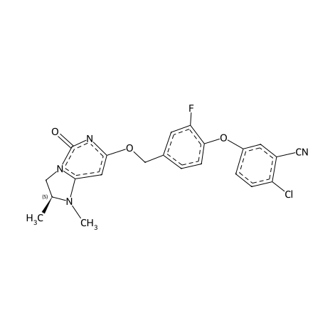 C[C@H]1Cn2c(cc(OCc3ccc(Oc4ccc(Cl)c(C#N)c4)c(F)c3)nc2=O)N1C